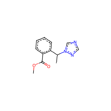 COC(=O)c1ccccc1C(C)n1cncn1